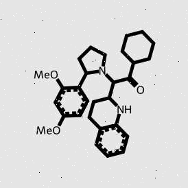 COc1ccc(C2CCCN2C(C(=O)C2CCCCC2)C2CCc3ccccc3N2)c(OC)c1